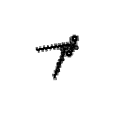 CCCCCCCCCCCCCCCC(CC(=O)N[C@@H](Cc1ccccc1)C(=O)OCc1ccccc1)OC(=O)COCCOCCOCCOCCCC